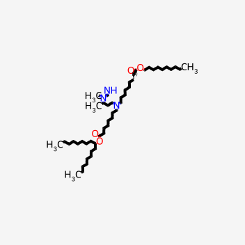 CCCCCCCCCCOC1O[C@H]1CCCCCCCN(CCCCCCCC(=O)OC(CCCCCCCC)CCCCCCCC)CCC(C)N(C)C=N